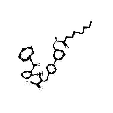 CCCCCCCC(=O)N(C)Cc1cccc(-c2ccc(C[C@H](Nc3ccccc3C(=O)c3ccccc3)C(=O)O)cc2)c1